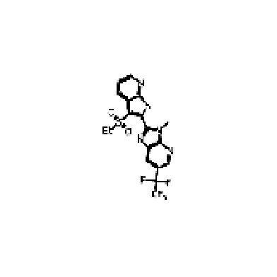 CCS(=O)(=O)c1c(-c2nc3cc(C(F)(F)C(F)(F)F)cnc3n2C)sc2ncccc12